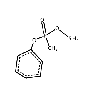 CP(=O)(O[SiH3])Oc1ccccc1